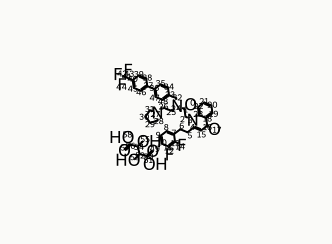 O=C(Cn1c(CCc2cccc(F)c2F)cc(=O)c2ccccc21)N(CCN1CCCC1)Cc1ccc(-c2ccc(C(F)(F)F)cc2)cc1.O=C(O)C(O)C(O)C(=O)O